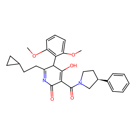 COc1cccc(OC)c1C1C(CCC2CC2)=NC(=O)C(C(=O)N2CC[C@@H](c3ccccc3)C2)=C1O